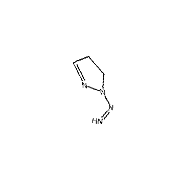 N=NN1CCC=N1